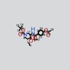 CCOC1(OCC)CCN(C(=O)OC(C)(C)C)CC1NC(=O)c1ccc(OC(C)=O)cc1